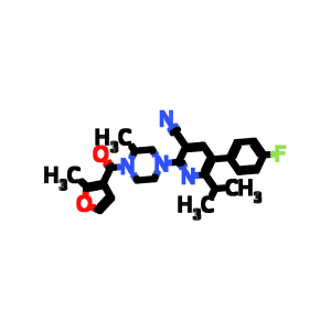 Cc1occc1C(=O)N1CCN(c2nc(C(C)C)c(-c3ccc(F)cc3)cc2C#N)CC1C